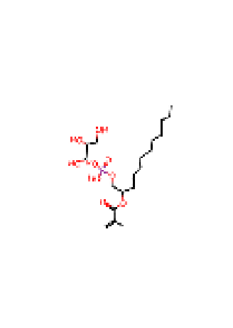 C=C(C)C(=O)OC(CCCCCCCCCC)COP(=O)(O)O.OCC(O)CO